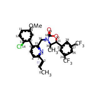 C/C=C/c1ccc(-c2cc(OC)ccc2Cl)c(CN2C(=O)OC(c3cc(C(F)(F)F)cc(C(F)(F)F)c3)C2C)n1